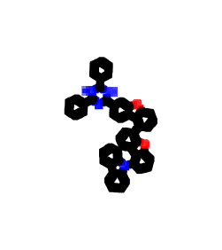 C1=CCC(C2NC(c3ccccc3)=NC(c3ccc4c(c3)oc3cccc(-c5cccc6c5oc5cccc(-n7c8ccccc8c8ccccc87)c56)c34)N2)C=C1